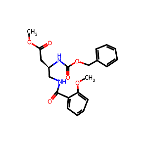 COC(=O)C[C@H](CNC(=O)c1ccccc1OC)NC(=O)OCc1ccccc1